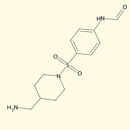 NCC1CCN(S(=O)(=O)c2ccc(NC=O)cc2)CC1